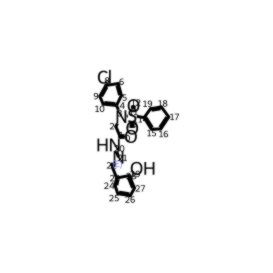 O=C(CN(c1ccc(Cl)cc1)S(=O)(=O)c1ccccc1)N/N=C/c1ccccc1O